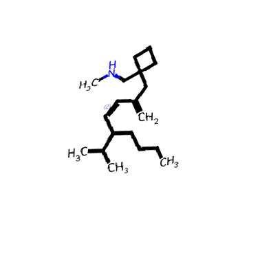 C=C(/C=C\C(CCCC)C(C)C)CC1(CNC)CCC1